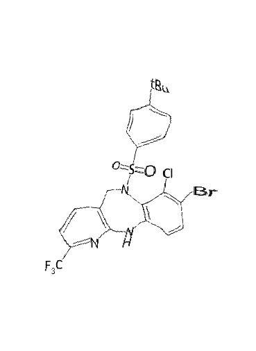 CC(C)(C)c1ccc(S(=O)(=O)N2Cc3ccc(C(F)(F)F)nc3Nc3ccc(Br)c(Cl)c32)cc1